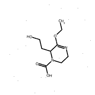 CCOC1=NCCN(C(=O)O)C1CCO